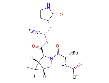 C#[N+][C@H](C[C@@H]1CCNC1=O)NC(=O)[C@@H]1[C@@H]2[C@H](CN1C(=O)[C@@H](NC(=O)C(F)(F)F)C(C)(C)C)C2(C)C